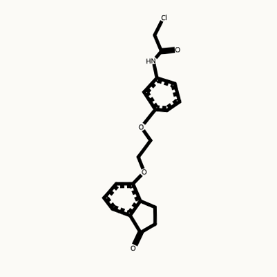 O=C(CCl)Nc1cccc(OCCOc2cccc3c2CCC3=O)c1